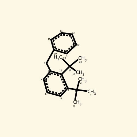 CC(C)(C)c1[c]ccc(Cc2ccccc2)c1C(C)(C)C